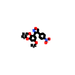 COc1cc(OC)c(OC)c(-c2nocc2-c2ccc([N+](=O)[O-])cc2)c1